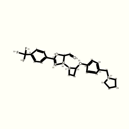 O=CC1OC(c2ccc(C(F)(F)F)cc2)=NN1N1CCC1Oc1ccc(CN2CCCC2)cc1